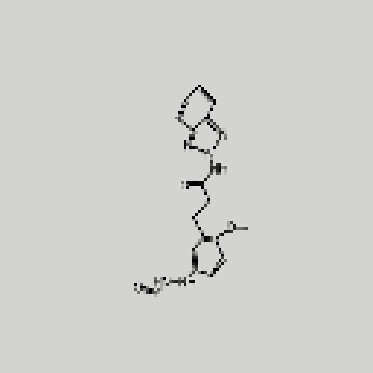 COc1ccc(NNC=O)cc1CCC(=O)Nn1nc2ccccc2n1